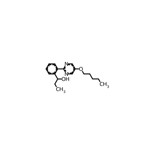 CCCCCOc1cnc(-c2ccccc2C(O)CC)nc1